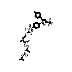 Cc1ccc(-c2cc(C(F)(F)F)nn2-c2ccc(S(=O)(=O)NC(=O)OCCN(C)[N+]([O-])=NOC(C)OC(=O)OC(C)C)cc2)cc1